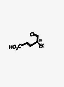 CC[C@@H](CCl)CCC(=O)O